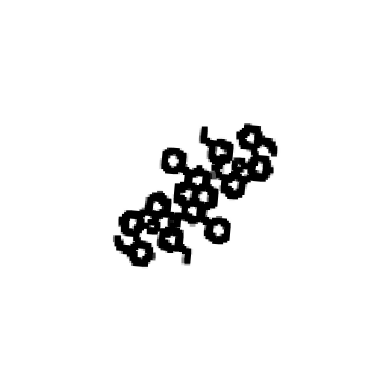 CCc1cccc(N(c2cc(C3CCCCC3)c3ccc4c(N(c5cccc(CC)c5)c5cccc6c5oc5c(-c7ccccc7CC)cccc56)cc(C5CCCCC5)c5ccc2c3c54)c2cccc3c2oc2c(-c4ccccc4CC)cccc23)c1